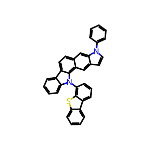 c1ccc(-n2ccc3cc4c(ccc5c6ccccc6n(-c6cccc7c6sc6ccccc67)c45)cc32)cc1